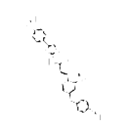 COc1ccc(CC2=CC(=S(=O)=O)C(C=CC(=O)Nc3nc(-c4ccc(OC)cc4)cs3)C=C2)cc1